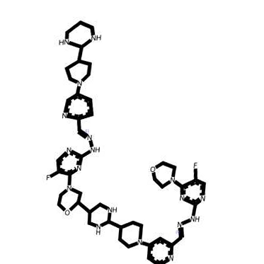 Fc1cnc(N/N=C/c2cc(N3CCC(C4NCC(C5CN(c6nc(N/N=C/c7ccc(N8CCC(C9NCCCN9)CC8)cn7)ncc6F)CCO5)CN4)CC3)ccn2)nc1N1CCOCC1